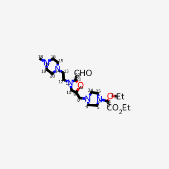 CCOC(=O)C(OCC)N1CCN(CC2CN(CCN3CCN(C)CC3)C(C=O)O2)CC1